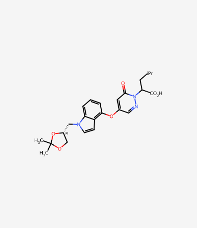 CC(C)CC(C(=O)O)n1ncc(Oc2cccc3c2ccn3C[C@@H]2COC(C)(C)O2)cc1=O